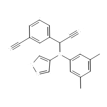 Cc1cc(C)cc(N(c2cn[nH]c2)C(C#N)c2cccc(C#N)c2)c1